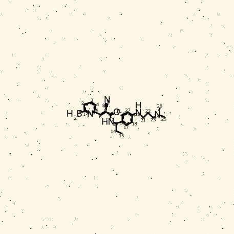 Bc1cccc(/C=C(\C#N)C(=O)NC(CC)c2ccc(NCCCN(C)C)cc2)n1